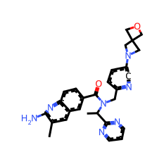 Cc1cc2cc(C(=O)N(Cc3ccc(N4CC5(COC5)C4)cn3)C(C)c3ncccn3)ccc2nc1N